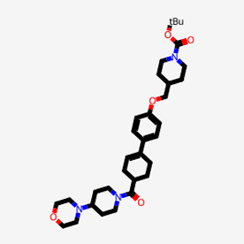 CC(C)(C)OC(=O)N1CCC(COc2ccc(C3=CCC(C(=O)N4CCC(N5CCOCC5)CC4)CC3)cc2)CC1